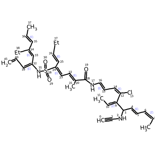 C#CNC(/C=C/C=C\C)C(=C/C)/C(Cl)=C\C=C\NC(=O)/C(C)=C/C=C(\C=C\CC)S(=O)(=O)NC(/C=C(/C=C/C)CC)=C/C=C